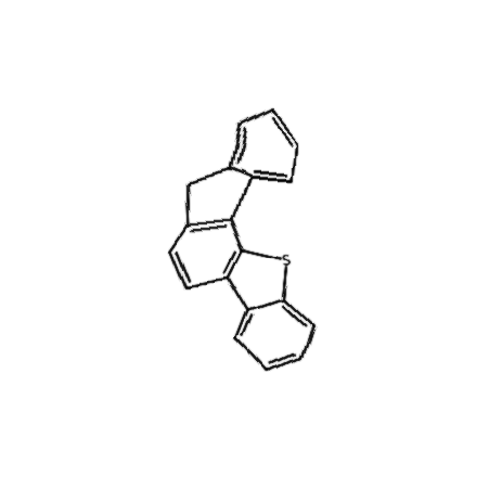 c1ccc2c(c1)Cc1ccc3c(sc4ccccc43)c1-2